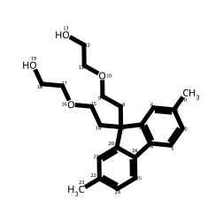 Cc1ccc2c(c1)C(CCOCCO)(CCOCCO)c1cc(C)ccc1-2